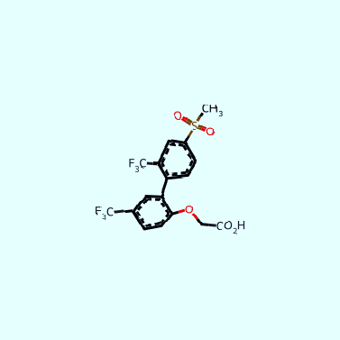 CS(=O)(=O)c1ccc(-c2cc(C(F)(F)F)ccc2OCC(=O)O)c(C(F)(F)F)c1